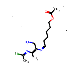 CC(=O)OCCCCC\C=N/C(CN)=C(C)/N=C(\C)Cl